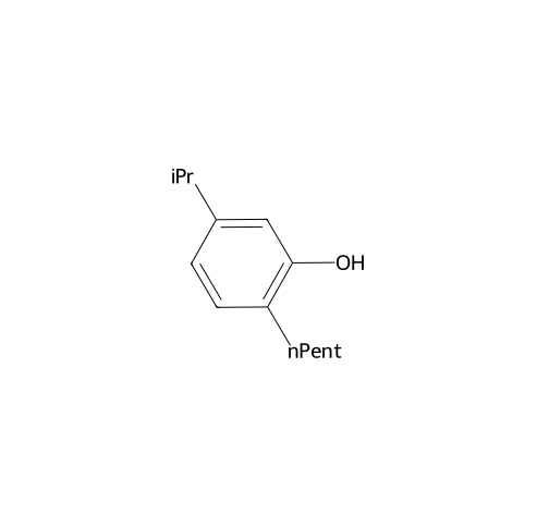 CCCCCc1ccc(C(C)C)cc1O